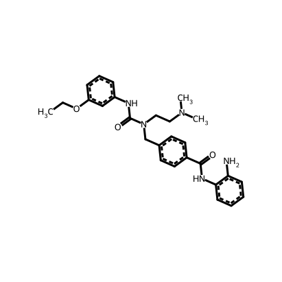 CCOc1cccc(NC(=O)N(CCN(C)C)Cc2ccc(C(=O)Nc3ccccc3N)cc2)c1